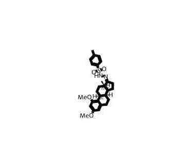 COc1cc2c(c(OC)c1)[C@H]1CC[C@]3(C)/C(=N\NS(=O)(=O)c4ccc(C)cc4)CC[C@H]3[C@H]1CC2